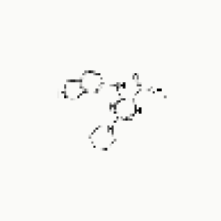 NC(=O)c1ncc(N2CCCCC2)nc1Nc1ccc2c(c1)CNC2